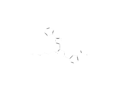 CCCCON=C(COc1cccc(C(=O)O)c1)c1cc(-c2ccccc2)no1